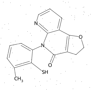 Cc1cccc(-n2c(=O)c3c(c4cccnc42)OCC3)c1S